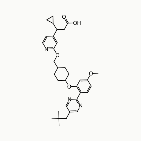 COc1ccc(-c2ncc(CC(C)(C)C)cn2)c(OC2CCC(COc3cc(C(CC(=O)O)C4CC4)ccn3)CC2)c1